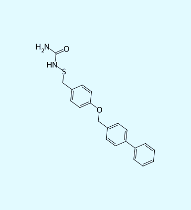 NC(=O)NSCc1ccc(OCc2ccc(-c3ccccc3)cc2)cc1